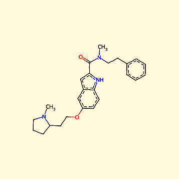 CN(CCc1ccccc1)C(=O)c1cc2cc(OCCC3CCCN3C)ccc2[nH]1